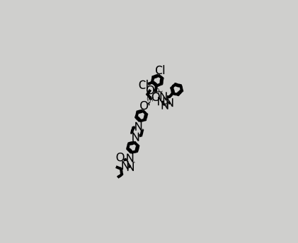 CCC(C)n1ncn(-c2ccc(N3CCN(c4ccc(OC[C@@H]5CO[C@@](Cn6nnnc6-c6ccccc6)(c6ccc(Cl)cc6Cl)O5)cc4)CC3)cc2)c1=O